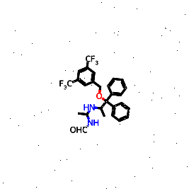 CC(NC=O)NC(C)C(OCc1cc(C(F)(F)F)cc(C(F)(F)F)c1)(c1ccccc1)c1ccccc1